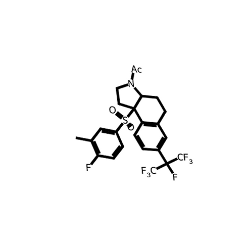 CC(=O)N1CCC2(S(=O)(=O)c3ccc(F)c(C)c3)c3ccc(C(F)(C(F)(F)F)C(F)(F)F)cc3CCC12